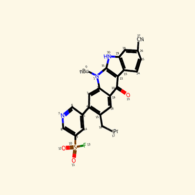 CCCCn1c2cc(-c3cncc(S(=O)(=O)F)c3)c(CC(C)C)cc2c(=O)c2c3ccc(C#N)cc3[nH]c21